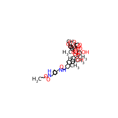 C=CCOC(=O)NCc1ccc(CNC(=O)CC2CC[C@@]3(C)C(=CC[C@@H]4C3CC[C@@]3(C)[C@H]4C[C@H](OC4OCC(O)C(OC5OCC(O)C(O)C5OC(=O)c5ccc(OC)cc5)C4OC(C)=O)[C@]3(O)[C@H](C)C(=O)CCC(C)C)C2)cc1